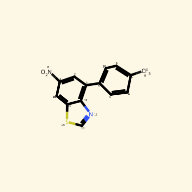 O=[N+]([O-])c1cc(-c2ccc(C(F)(F)F)cc2)c2ncsc2c1